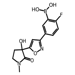 CN1CCC(O)(c2cc(-c3ccc(F)c(B(O)O)c3)no2)C1=O